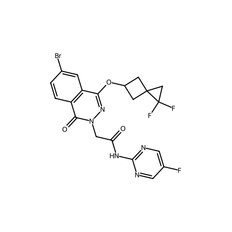 O=C(Cn1nc(OC2CC3(C2)CC3(F)F)c2cc(Br)ccc2c1=O)Nc1ncc(F)cn1